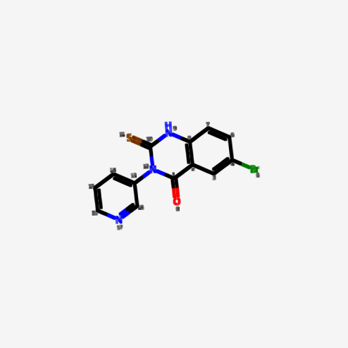 O=c1c2cc(Br)ccc2[nH]c(=S)n1-c1cccnc1